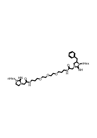 CCCCCCN1CCN(CC(=O)NCCCOCCOCCOCCCNC(=O)CN2CC(Cc3ccccc3)N(CCCCCC)C2=N)C1=N